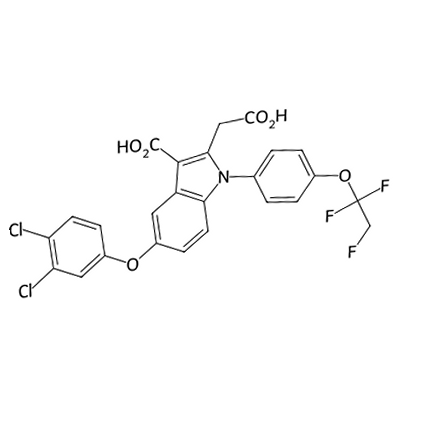 O=C(O)Cc1c(C(=O)O)c2cc(Oc3ccc(Cl)c(Cl)c3)ccc2n1-c1ccc(OC(F)(F)CF)cc1